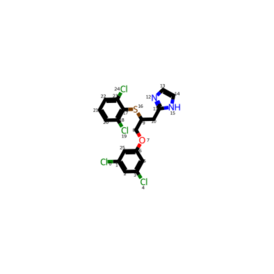 Clc1cc(Cl)cc(OCC(Cc2ncc[nH]2)Sc2c(Cl)cccc2Cl)c1